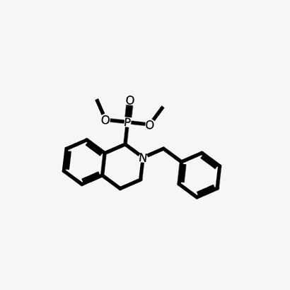 COP(=O)(OC)C1c2ccccc2CCN1Cc1ccccc1